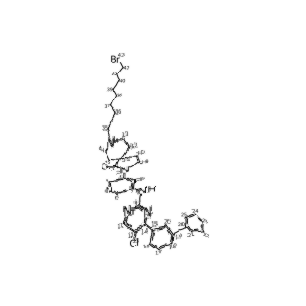 O=C1N(c2cncc(Nc3ncc(Cl)c(-c4cccc(-c5ccccc5)c4)n3)c2)CCC12CCN(CCCCCCCCBr)CC2